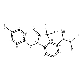 O=C1N(Cc2ccc(Cl)cn2)c2cccc(C(O)C(F)F)c2C1(F)F